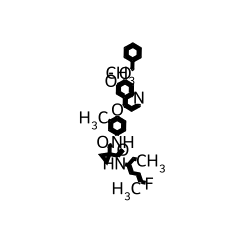 CC/C(=C\C=C(/C)F)NC(=O)C1(C(=O)Nc2ccc(Oc3ccnc4cc(OCc5ccccc5)c(OC)cc34)c(C)c2)CC1